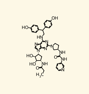 CCC(=O)N[C@H]1C[C@@H](n2cnc3c(NCC(c4ccc(O)cc4)c4ccc(O)cc4)nc(N4CC[C@@H](NC(=O)Nc5cccnc5)C4)nc32)[C@H](O)[C@@H]1O